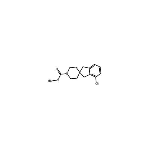 CC(C)(C)OC(=O)N1CCC2(CC1)Cc1cccc(C#N)c1C2